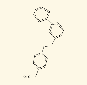 O=[C]Cc1ccc(OCc2cccc(-c3ccccc3)c2)cc1